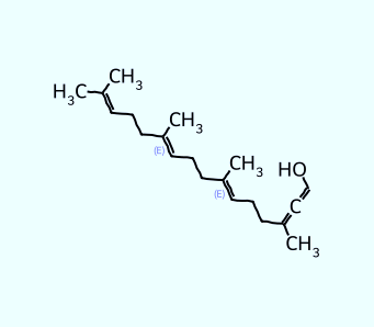 CC(=C=CO)CC/C=C(\C)CC/C=C(\C)CCC=C(C)C